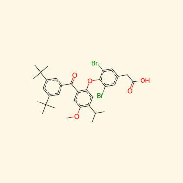 COc1cc(C(=O)c2cc(C(C)(C)C)cc(C(C)(C)C)c2)c(Oc2c(Br)cc(CC(=O)O)cc2Br)cc1C(C)C